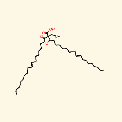 CCCCCCCCC=CCCCCCCCC(=O)C(CCC)(C(=O)O)C(=O)CCCCCCCC=CCCCCCCCC